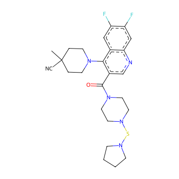 CC1(C#N)CCN(c2c(C(=O)N3CCN(SN4CCCC4)CC3)cnc3cc(F)c(F)cc23)CC1